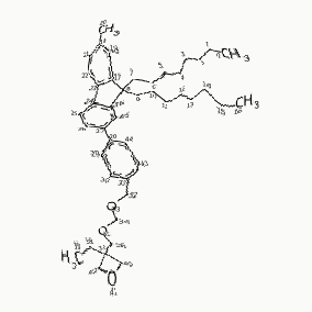 CCCCCCCCC1(CCCCCCCC)c2cc(C)ccc2-c2ccc(-c3ccc(COCOCC4(CC)COC4)cc3)cc21